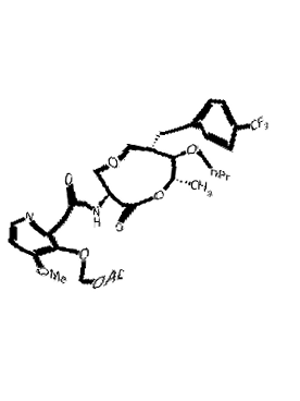 CCCO[C@@H]1[C@@H](Cc2ccc(C(F)(F)F)cc2)COC[C@H](NC(=O)c2nccc(OC)c2OCOC(C)=O)C(=O)O[C@H]1C